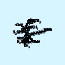 C=CCOC(=O)O[C@@H](CCCCCCCCCCC)CCO[C@H]1[C@@H](OC=CC)O[C@H](CO[C@@H]2O[C@H](COC)[C@@H](OP(=O)(OCC=C)OCC=C)[C@H](OCC[C@H](CCCCCCC)OC)[C@H]2OCCCCCCCCCC/C=C\CCCCCC)[C@@H](OC(=O)OCC=C)[C@@H]1OCCCCCCCCCCCC